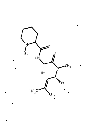 CCC(C)N1CCCCC1C(=O)N[C@H](C(=O)N(C)[C@H](/C=C(\C)C(=O)O)C(C)C)C(C)C